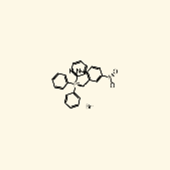 Nc1ccc([N+](=O)[O-])cc1C[P+](c1ccccc1)(c1ccccc1)c1ccccc1.[Br-]